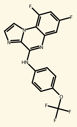 Fc1cc(F)c2c(c1)nc(Nc1ccc(OC(F)(F)F)cc1)c1nccn12